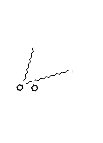 CCCCCCCCCCCCCCCCCCCCCCCN(CCN(CCCCCCCCCCCCCCCCCCCCCCC)c1ccccc1)c1ccccc1